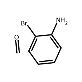 C=O.Nc1ccccc1Br